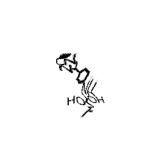 OC(CF)C(O)CNc1ccc(C2CN3C=CC=CC3=N2)cc1